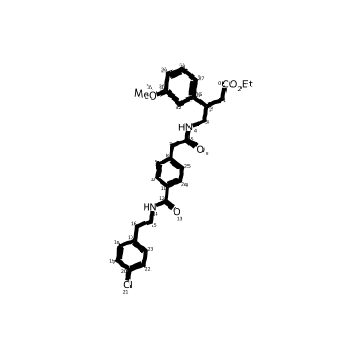 CCOC(=O)CC(CNC(=O)Cc1ccc(C(=O)NCCc2ccc(Cl)cc2)cc1)c1cccc(OC)c1